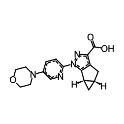 O=C(O)c1nn(-c2ccc(N3CCOCC3)cn2)c2c1C[C@@H]1C[C@H]21